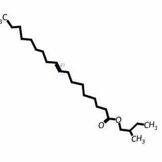 CCCCCCCC/C=C/CCCCCCCC(=O)OCC(C)CC